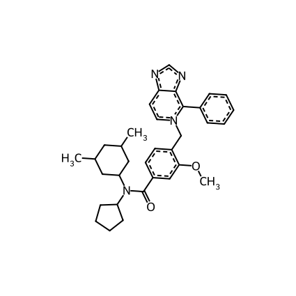 COc1cc(C(=O)N(C2CCCC2)C2CC(C)CC(C)C2)ccc1Cn1ccc2ncnc-2c1-c1ccccc1